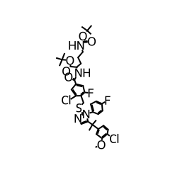 COc1cc(C(C)(C)c2cnc(SCc3c(F)cc(C(=O)NC(CCCNC(=O)OC(C)(C)C)C(=O)OC(C)(C)C)cc3Cl)n2-c2ccc(F)cc2)ccc1Cl